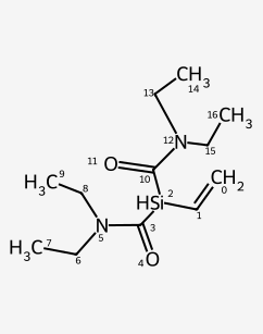 C=C[SiH](C(=O)N(CC)CC)C(=O)N(CC)CC